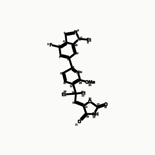 CCn1ncc2c(F)cc(-c3ccc(C(/C=C4\OC(=O)NC4=O)(CC)CC)c(OC)n3)cc21